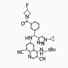 CC(C)(C)CNc1c(C#N)cnc2c(C#N)cc(NC(c3cccc(C(=O)N4CC(F)C4)c3)c3cn(C4CC4)nn3)cc12